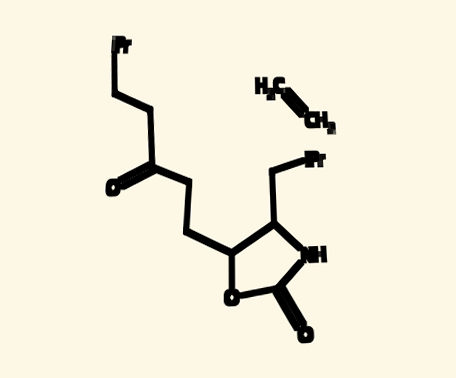 C=C.CC(C)CCC(=O)CCC1OC(=O)NC1CC(C)C